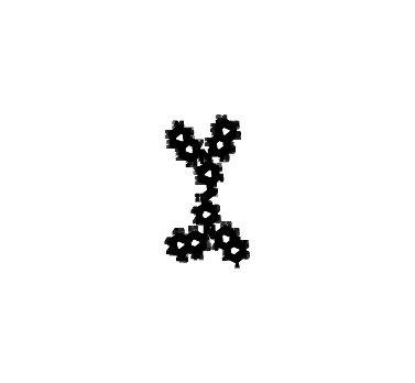 C1=CCC2C=C(N(C3=CC=C(/C=C/c4ccc(N(c5ccc6ccccc6c5)c5ccc6ccccc6c5)cc4)CC3)c3ccc4ccccc4c3)C=CC2=C1